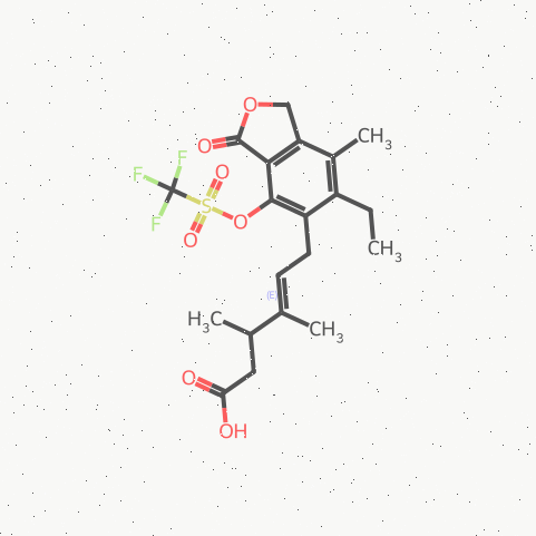 CCc1c(C)c2c(c(OS(=O)(=O)C(F)(F)F)c1C/C=C(\C)C(C)CC(=O)O)C(=O)OC2